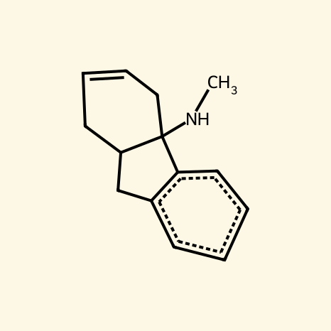 CNC12CC=CCC1Cc1ccccc12